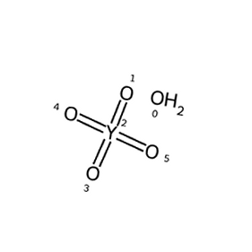 O.[O]=[Y](=[O])(=[O])=[O]